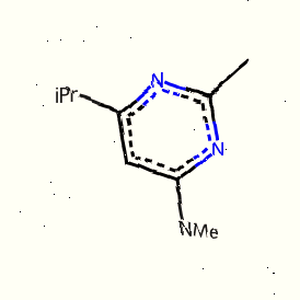 CNc1cc(C(C)C)nc(C)n1